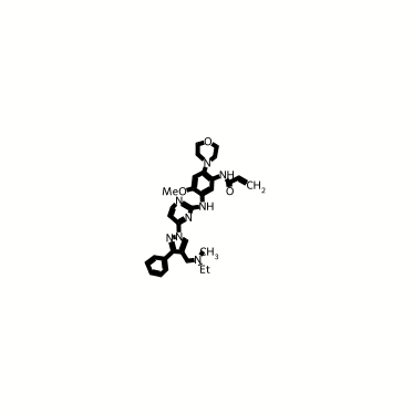 C=CC(=O)Nc1cc(Nc2nccc(-n3cc(CN(C)CC)c(-c4ccccc4)n3)n2)c(OC)cc1N1CCOCC1